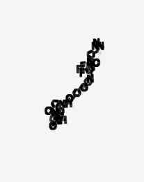 C[C@H](c1cccc(-n2cc3c(C(F)(F)F)cc(CN4CCC(OCc5ccc(COCCNc6cccc7c6C(=O)N(C6CCC(=O)NC6=O)C7=O)cc5)CC4)cn3c2=O)c1)c1nncn1C